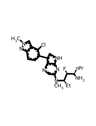 CCC[C@@H](N)[C@H](F)[C@@H](CC)N(C)c1cnc2c(-c3ccc4nn(C)cc4c3Cl)c[nH]c2n1